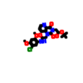 COc1cc(OC)c(NC(=O)Cn2c(=O)n(CC(=O)OC(C)(C)C)c(=O)c3ncccc32)cc1Cl